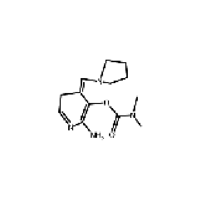 CN(C)C(=O)OC1=C(N)N=CCC1=CN1CCCC1